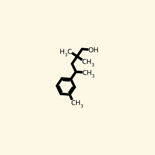 Cc1cccc(C(C)CC(C)(C)CO)c1